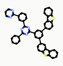 c1ccc(-c2nc(-c3cc(-c4ccc5sc6ccccc6c5c4)cc(-c4ccc5sc6ccccc6c5c4)c3)nc(-c3cccc(-c4ncccn4)c3)n2)cc1